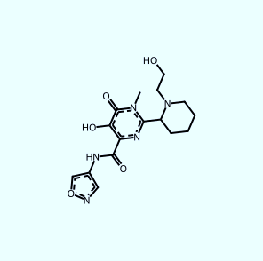 Cn1c(C2CCCCN2CCO)nc(C(=O)Nc2cnoc2)c(O)c1=O